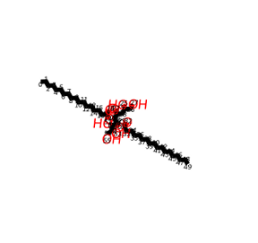 CCCCCCCCCCCCCCCCCC(=O)O[C@@H](C(=O)CC(O)CO)[C@@](C)(OC(=O)CCCCCCCCCCCCCCCCC)[C@H](O)[C@H](O)CO